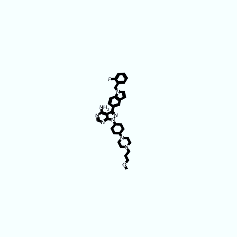 COCCCN1CCN(C2CCC(n3nc(-c4ccc5c(ccn5Cc5ccccc5F)c4)c4c(N)ncnc43)CC2)CC1